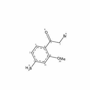 Bc1ccc(C(=O)CBr)c(OC)c1